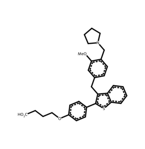 COc1cc(Cc2c(-c3ccc(OCCCC(=O)O)cc3)sc3ccccc23)ccc1CN1CCCC1